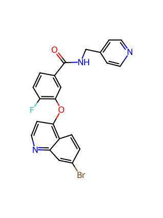 O=C(NCc1ccncc1)c1ccc(F)c(Oc2ccnc3cc(Br)ccc23)c1